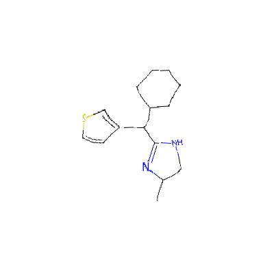 CC1CNC(C(c2ccsc2)C2CCCCC2)=N1